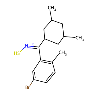 Cc1ccc(Br)cc1/C(=N\S)C1CC(C)CC(C)C1